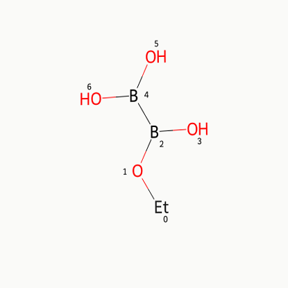 CCOB(O)B(O)O